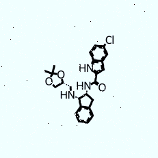 CC1(C)OC[C@@H](CN[C@H]2c3ccccc3C[C@H]2NC(=O)c2cc3cc(Cl)ccc3[nH]2)O1